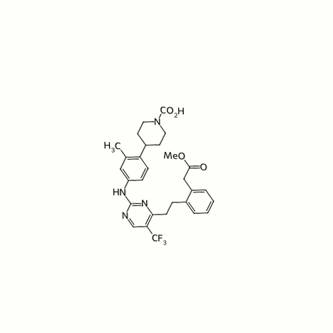 COC(=O)Cc1ccccc1CCc1nc(Nc2ccc(C3CCN(C(=O)O)CC3)c(C)c2)ncc1C(F)(F)F